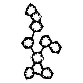 c1cc(-c2ccc3sc4ccccc4c3c2)cc(-c2nc3c4ccccc4c4ccccc4c3nc2-c2cccc3ccccc23)c1